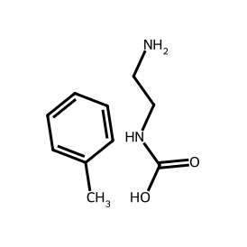 Cc1ccccc1.NCCNC(=O)O